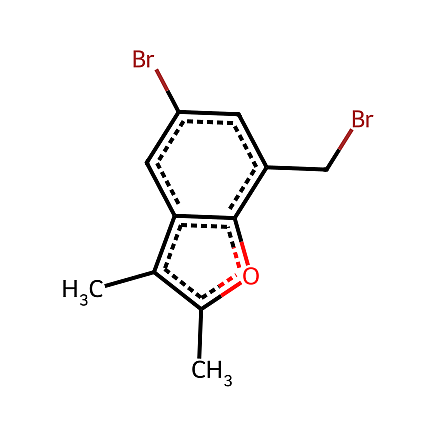 Cc1oc2c(CBr)cc(Br)cc2c1C